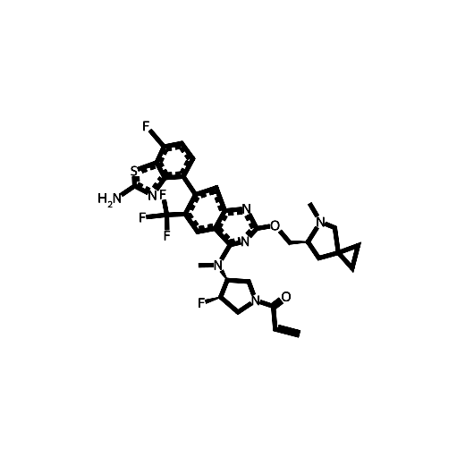 C=CC(=O)N1C[C@@H](F)[C@@H](N(C)c2nc(OC[C@@H]3CC4(CC4)CN3C)nc3cc(-c4ccc(F)c5sc(N)nc45)c(C(F)(F)F)cc23)C1